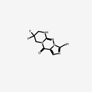 CC(C)c1ncc2c(=O)n3c(nn12)NCC(F)(F)C3